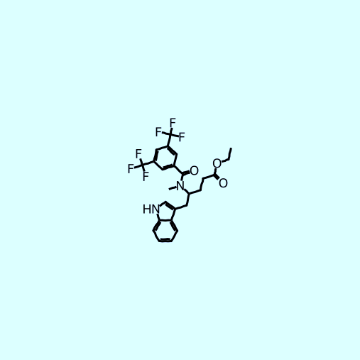 CCOC(=O)CCC(Cc1c[nH]c2ccccc12)N(C)C(=O)c1cc(C(F)(F)F)cc(C(F)(F)F)c1